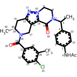 CC(=O)Nc1ccc(C(C)N2CCn3nc4c(c3C2=O)CN(C(=O)c2ccc(Cl)c(C(F)(F)F)c2)[C@H](C)C4)cc1